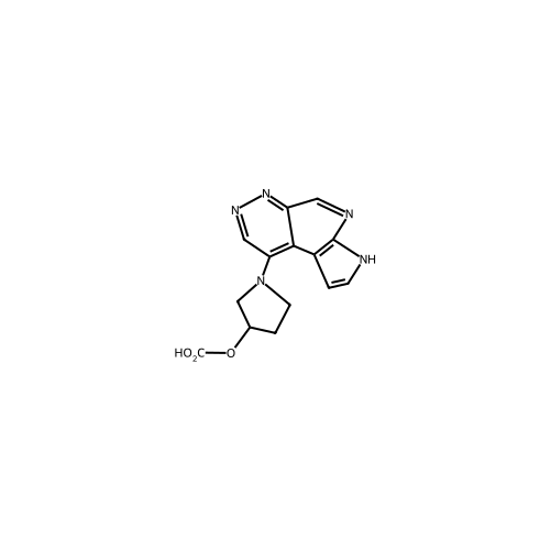 O=C(O)OC1CCN(c2cnnc3cnc4[nH]ccc4c23)C1